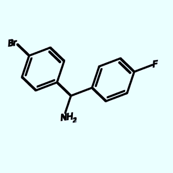 NC(c1ccc(F)cc1)c1ccc(Br)cc1